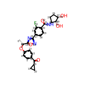 C[C@@H](Oc1ccc(C(=O)C2CC2)cc1)c1nc(-c2ccc(C(=O)N[C@H]3CC[C@H](O)[C@@H]3O)c(F)c2)no1